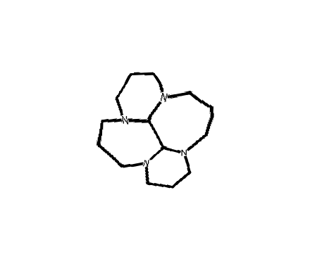 C1CN2CCCN3CCCN4CCCN(C1)C2C34